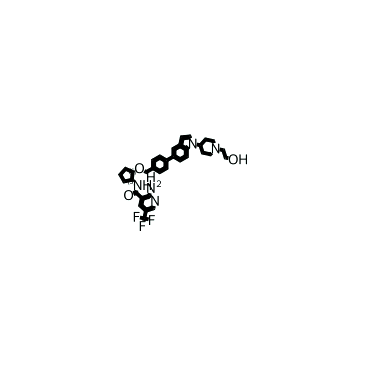 Nc1ncc(C(F)(F)F)cc1C(=O)N[C@H]1CCC[C@@H]1OCc1ccc(-c2ccc3c(ccn3C3CCN(CCO)CC3)c2)cc1